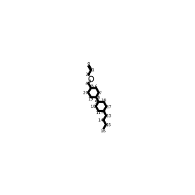 C=CCOCC1CCC(C2CCC(CCCC)CC2)CC1